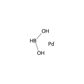 OBO.[Pd]